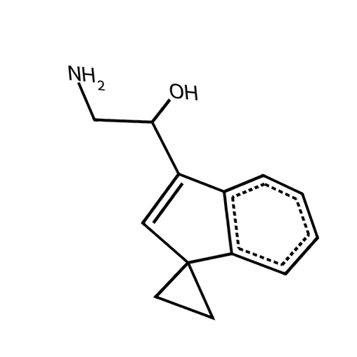 NCC(O)C1=CC2(CC2)c2ccccc21